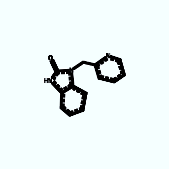 O=c1[nH]c2ccccc2n1Cc1ccccn1